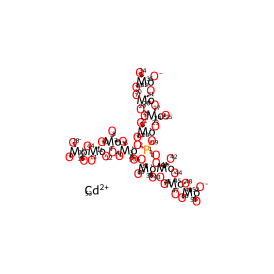 O=P([O][Mo](=[O])(=[O])[O][Mo](=[O])(=[O])[O][Mo](=[O])(=[O])[O][Mo](=[O])(=[O])[O-])([O][Mo](=[O])(=[O])[O][Mo](=[O])(=[O])[O][Mo](=[O])(=[O])[O][Mo](=[O])(=[O])[O-])[O][Mo](=[O])(=[O])[O][Mo](=[O])(=[O])[O][Mo](=[O])(=[O])[O][Mo](=[O])(=[O])[O-].[Cd+2]